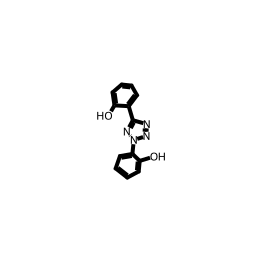 Oc1ccccc1-c1nnn(-c2ccccc2O)n1